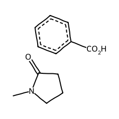 CN1CCCC1=O.O=C(O)c1ccccc1